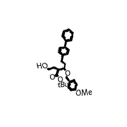 COc1ccc(COC(CCc2ccc(-c3ccccc3)cc2)C(CCO)C(=O)OC(C)(C)C)cc1